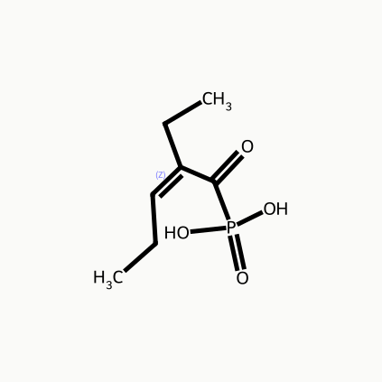 CC/C=C(/CC)C(=O)P(=O)(O)O